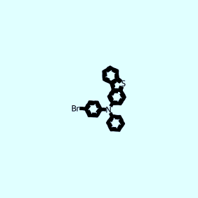 Brc1ccc(N(c2ccccc2)c2ccc3sc4ccccc4c3c2)cc1